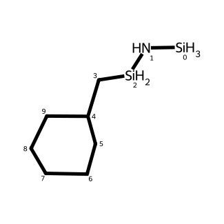 [SiH3]N[SiH2]CC1CCCCC1